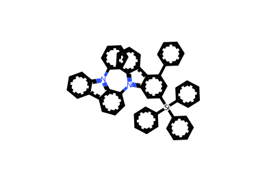 c1ccc(-c2cc([Si](c3ccccc3)(c3ccccc3)c3ccccc3)cc3c2c2ccccc2n3-c2cccc3c4ccccc4n(-c4ccccc4)c23)cc1